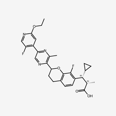 CCOc1cc(-c2cnc(C3CCc4ccc([C@H](C5CC5)[C@H](C)C(=O)O)c(F)c4O3)c(C)n2)c(F)cn1